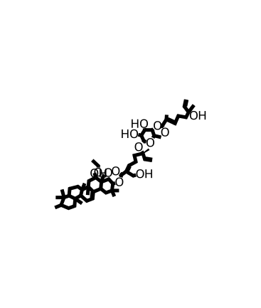 C=CC(C)(O)CC/C=C(\C)C(=O)OC1C(C)OC(O[C@](C)(C=C)CC/C=C(\CO)C(=O)OC2CC3(C(=O)OCC)C(O)CC4(C)C(=CCC5C6(C)CCC(C)C(C)(C)C6CCC54C)C3CC2(C)C)C(O)C1O